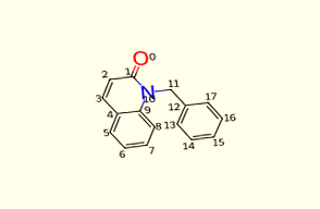 O=c1ccc2ccccc2n1Cc1ccccc1